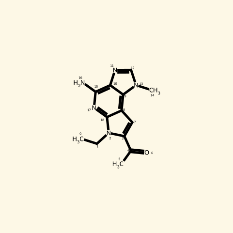 CCn1c(C(C)=O)cc2c3c(ncn3C)c(N)nc21